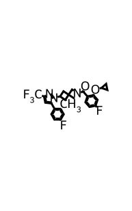 Cc1cc(F)ccc1-c1cc(C(F)(F)F)nn1C1CC2(C1)CN(C(=O)c1ccc(F)cc1OC1CC1)C2